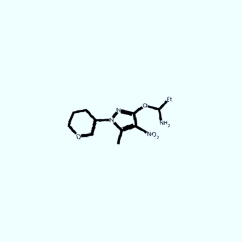 CCC(N)Oc1nn(C2CCCOC2)c(C)c1[N+](=O)[O-]